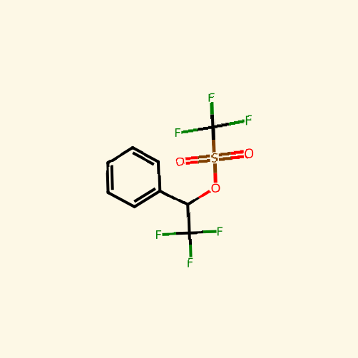 O=S(=O)(OC(c1ccccc1)C(F)(F)F)C(F)(F)F